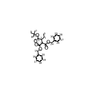 CCC(C(=O)OC(C)(C)C)C(C(=O)OCc1ccccc1)C(=O)OCc1ccccc1